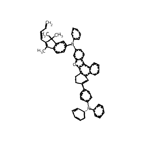 C=C/C=C\C1=C(C)c2ccc(N(c3ccccc3)c3ccc4c(c3)oc3c5c(c6ccccc6c34)C=C(c3ccc(N(c4ccccc4)[C@H]4C=CC=CC4)cc3)CC5)cc2C1(C)C